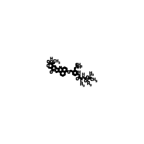 CC[C@@]1(O)C(=O)OCc2c1cc1n(c2=O)Cc2c-1nc1ccc(OCc3ccc(NC(=O)[C@H](C)NC(=O)OC(C)(C)C)cc3CNC)c3c1c2CCC3